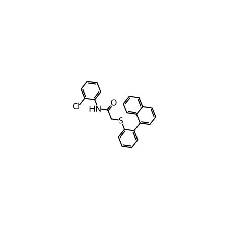 O=C(CSc1ccccc1-c1cccc2ccccc12)Nc1ccccc1Cl